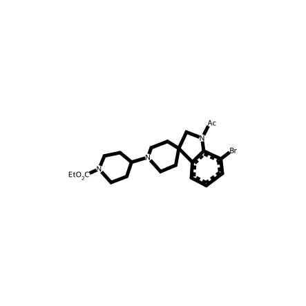 CCOC(=O)N1CCC(N2CCC3(CC2)CN(C(C)=O)c2c(Br)cccc23)CC1